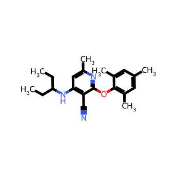 CCC(CC)Nc1cc(C)nc(Oc2c(C)cc(C)cc2C)c1C#N